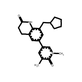 Cc1cc(-c2cc3c(c(CC4CCCC4)c2)NC(=O)CC3)cn(C)c1=O